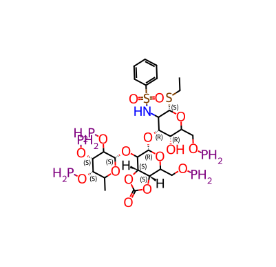 CCS[C@@H]1OC(COP)[C@H](O)[C@H](O[C@@H]2OC(COP)[C@@H]3OC(=O)O[C@@H]3C2O[C@@H]2OC(C)[C@H](OP)[C@H](OP)C2OP)C1NS(=O)(=O)c1ccccc1